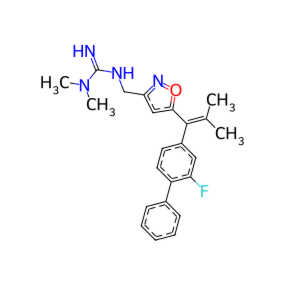 CC(C)=C(c1ccc(-c2ccccc2)c(F)c1)c1cc(CNC(=N)N(C)C)no1